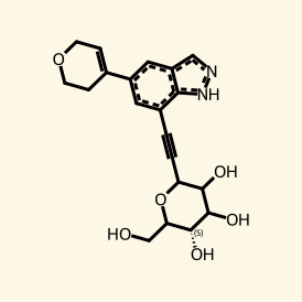 OCC1OC(C#Cc2cc(C3=CCOCC3)cc3cn[nH]c23)C(O)C(O)[C@@H]1O